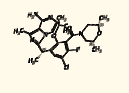 Cc1nc([C@@H](C)c2cc(Cl)c(F)c(C(=O)N3C[C@@H](C)O[C@@H](C)C3)c2OC(C)C)n2ccnc(N)c12